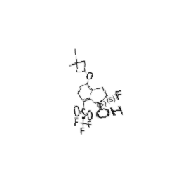 CC1(C)CC(Oc2ccc(S(=O)(=O)C(F)(F)F)c3c2C[C@H](F)[C@H]3O)C1